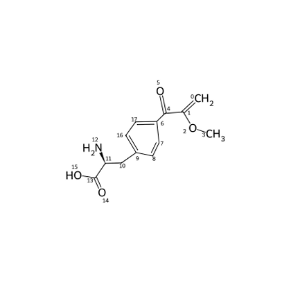 C=C(OC)C(=O)c1ccc(C[C@H](N)C(=O)O)cc1